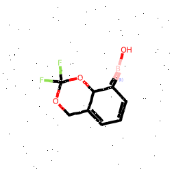 O/B=C1\C=CC=C2COC(F)(F)OC21